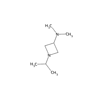 CC(C)N1CC(N(C)C)C1